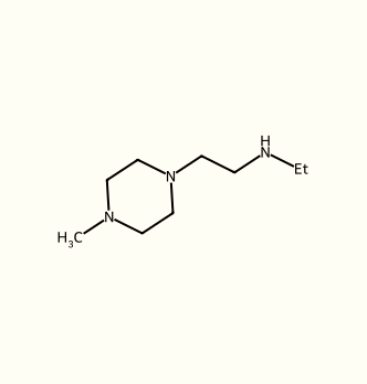 CCNCCN1CCN(C)CC1